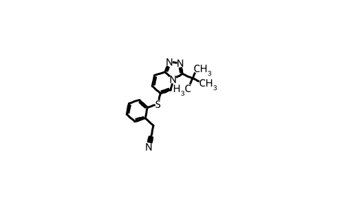 CC(C)(C)c1nnc2ccc(Sc3ccccc3CC#N)cn12